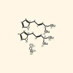 CC(C)(C)P(C=CCc1ccco1)C(C)(C)C.CC(C)(C)P(C=CCc1ccco1)C(C)(C)C.[Cl-].[Cl-].[Ni+2]